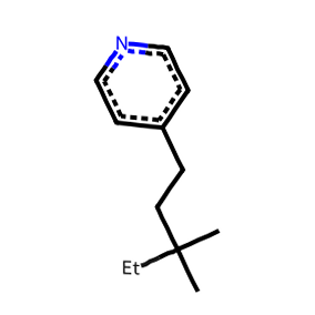 CCC(C)(C)CCc1ccncc1